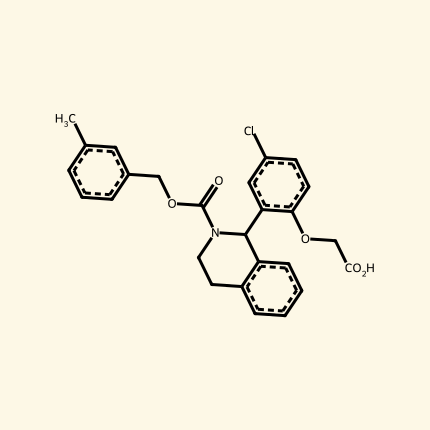 Cc1cccc(COC(=O)N2CCc3ccccc3C2c2cc(Cl)ccc2OCC(=O)O)c1